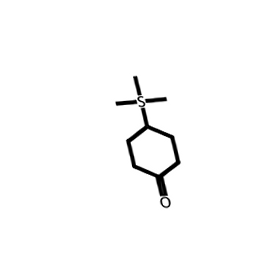 CS(C)(C)C1CCC(=O)CC1